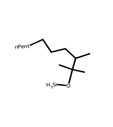 CCCCCCCCC(C)C(C)(C)O[SiH3]